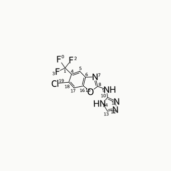 FC(F)(F)c1cc2nc(Nc3nnc[nH]3)oc2cc1Cl